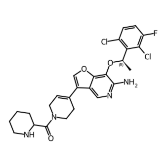 C[C@@H](Oc1c(N)ncc2c(C3=CCN(C(=O)C4CCCCN4)CC3)coc12)c1c(Cl)ccc(F)c1Cl